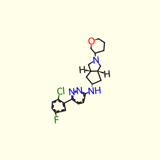 Fc1ccc(Cl)c(-c2ccc(N[C@@H]3C[C@@H]4CN(C5CCCOC5)C[C@@H]4C3)nn2)c1